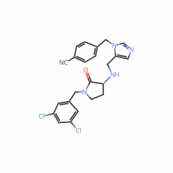 N#Cc1ccc(Cn2cncc2CN[C@H]2CCN(Cc3cc(Cl)cc(Cl)c3)C2=O)cc1